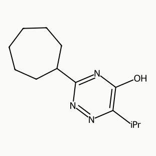 CC(C)c1nnc(C2CCCCCC2)nc1O